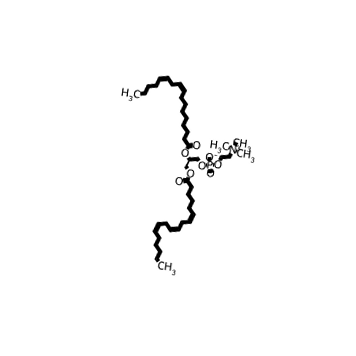 CCCC/C=C\C/C=C\CCCCCCCC(=O)O[C@H](COC(=O)CCCC/C=C\C/C=C\C/C=C\CCCCC)COP(=O)([O-])OCC[N+](C)(C)C